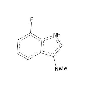 CNc1c[nH]c2c(F)cccc12